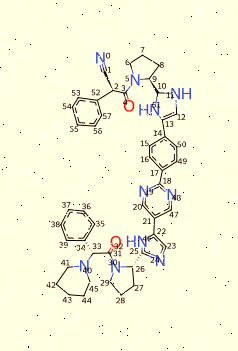 N#C[C@@H](C(=O)N1CCC[C@H]1C1NC=C(c2ccc(-c3ncc(-c4cnc([C@@H]5CCCN5C(=O)[C@@H](c5ccccc5)N5CCCCC5)[nH]4)cn3)cc2)N1)c1ccccc1